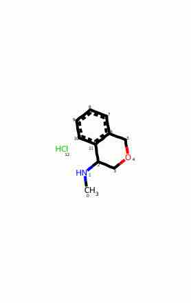 CNC1COCc2ccccc21.Cl